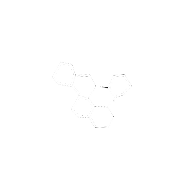 O[C@@H]1CCC=c2ccc3c(c21)[C@H](c1ccccc1)C=c1ccccc1=3